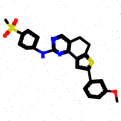 COc1cccc(-c2cc3c(s2)CCc2cnc(Nc4ccc(S(C)(=O)=O)cc4)nc2-3)c1